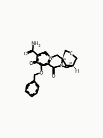 NC(=O)c1cn2c(c(OCc3ccccc3)c1=O)C(=O)N1C[C@@H]3CCC[C@]1(C3)C2